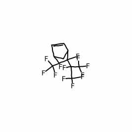 FC(F)(F)C1(F)C2C=CC(C2)C1(F)C(F)(C(F)(F)F)C(F)(F)F